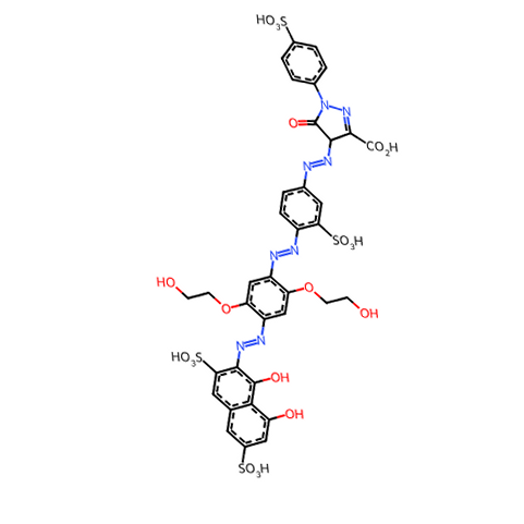 O=C(O)C1=NN(c2ccc(S(=O)(=O)O)cc2)C(=O)C1/N=N/c1ccc(/N=N/c2cc(OCCO)c(/N=N/c3c(S(=O)(=O)O)cc4cc(S(=O)(=O)O)cc(O)c4c3O)cc2OCCO)c(S(=O)(=O)O)c1